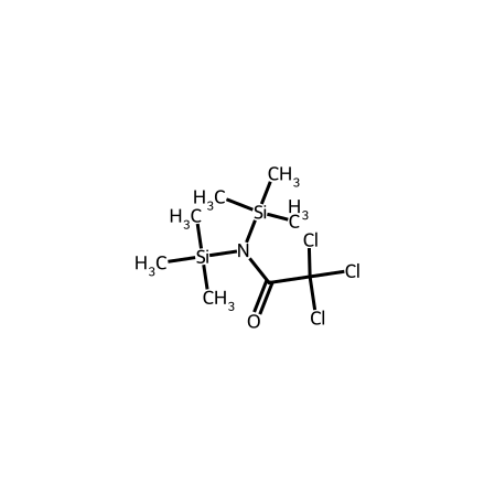 C[Si](C)(C)N(C(=O)C(Cl)(Cl)Cl)[Si](C)(C)C